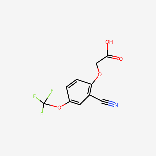 N#Cc1cc(OC(F)(F)F)ccc1OCC(=O)O